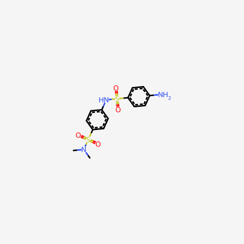 CN(C)S(=O)(=O)c1ccc(NS(=O)(=O)c2ccc(N)cc2)cc1